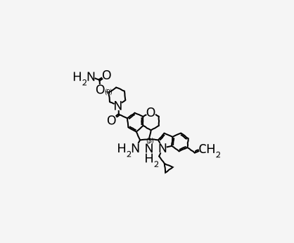 C=Cc1ccc2cc([C@@]3(N)C(N)c4cc(C(=O)N5CCC[C@@H](OC(N)=O)C5)cc5c4C3CCO5)n(CC3CC3)c2c1